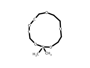 C[Si]1(C)OCCOCCOCCOCCO1